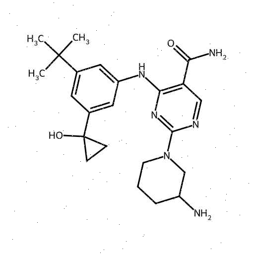 CC(C)(C)c1cc(Nc2nc(N3CCCC(N)C3)ncc2C(N)=O)cc(C2(O)CC2)c1